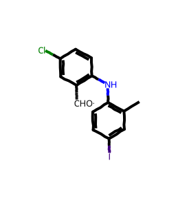 Cc1cc(I)ccc1Nc1ccc(Cl)cc1[C]=O